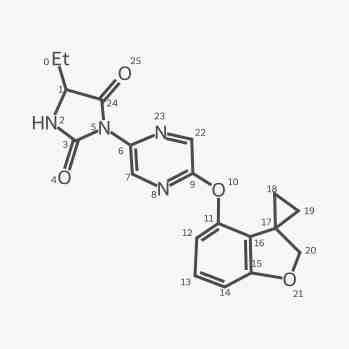 CCC1NC(=O)N(c2cnc(Oc3cccc4c3C3(CC3)CO4)cn2)C1=O